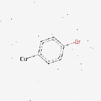 [Cu][c]1ccc(Br)cc1